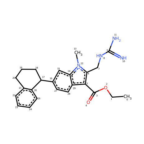 CCOC(=O)c1c(CNC(=N)N)n(C)c2cc(C3CCCc4ccccc43)ccc12